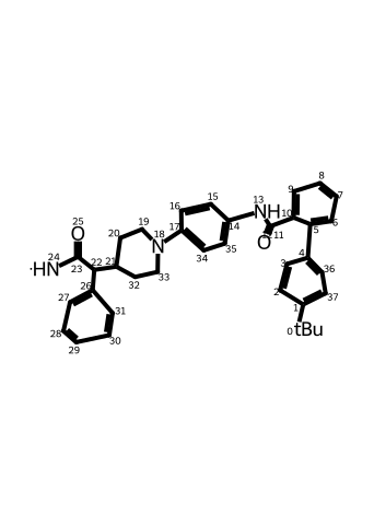 CC(C)(C)c1ccc(-c2ccccc2C(=O)Nc2ccc(N3CCC(C(C([NH])=O)c4ccccc4)CC3)cc2)cc1